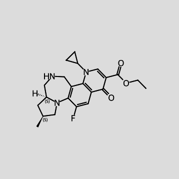 CCOC(=O)c1cn(C2CC2)c2c3c(c(F)cc2c1=O)N1C[C@@H](C)C[C@H]1CNC3